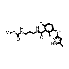 COC(=O)NCCCNC(=O)c1c(F)ccc(Nc2cc(C)[nH]n2)c1F